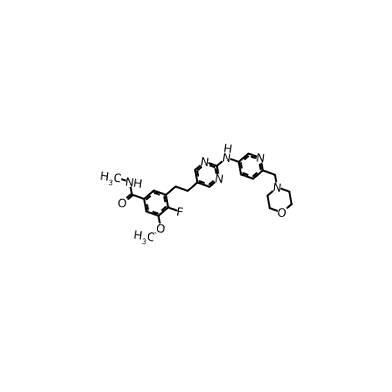 CNC(=O)c1cc(CCc2cnc(Nc3ccc(CN4CCOCC4)nc3)nc2)c(F)c(OC)c1